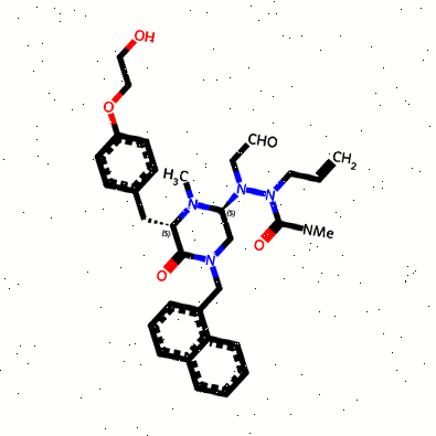 C=CCN(C(=O)NC)N(CC=O)[C@H]1CN(Cc2cccc3ccccc23)C(=O)[C@H](Cc2ccc(OCCO)cc2)N1C